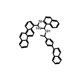 CC(NC(NC(N)c1cccc2c1ccc1c3ccccc3ccc21)c1cccc2ccccc12)c1ccc(-c2ccc3ccccc3c2)cc1